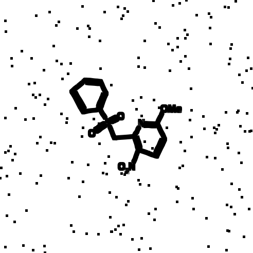 COc1ccc([N+](=O)[O-])c(CS(=O)(=O)c2ccccc2)n1